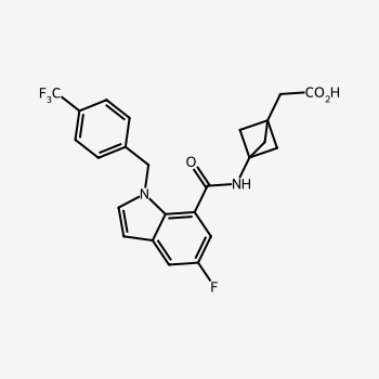 O=C(O)CC12CC(NC(=O)c3cc(F)cc4ccn(Cc5ccc(C(F)(F)F)cc5)c34)(C1)C2